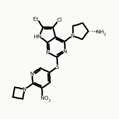 CCc1[nH]c2nc(Sc3cnc(N4CCC4)c([N+](=O)[O-])c3)nc(N3CC[C@H](N)C3)c2c1Cl